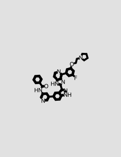 O=C(Nc1cncc(-c2ccc3[nH]nc(-c4nc5c(-c6cc(F)cc(OCCN7CCCC7)c6)nccc5[nH]4)c3c2)c1)c1ccccc1